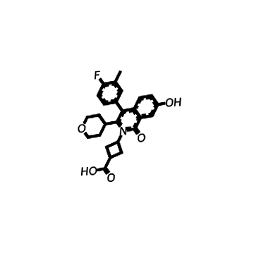 Cc1cc(-c2c(C3CCOCC3)n(C3CC(C(=O)O)C3)c(=O)c3cc(O)ccc23)ccc1F